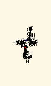 Cc1c(-c2ccc(N3CCc4cccc(C(=O)Nc5nc6ccccc6s5)c4C3)nc2C(=O)O)cnn1CC12CC3(C)CC(C)(C1)CC(OCCN(CCCP(=O)(O)O)C1CCN(C(=O)OC/C=C/c4ccc(O[C@@H]5O[C@H](C(=O)O)[C@@H](O)[C@H](O)[C@H]5O)c(NC(=O)CCNC(=O)CCCCCN5C(=O)C=CC5=O)c4)CC1)(C3)C2